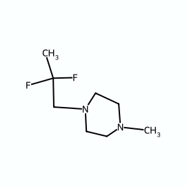 CN1CCN(CC(C)(F)F)CC1